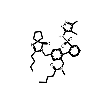 CCCCC(=O)N(C)Cc1cc(CN2C(=O)C3(CCCC3)N=C2CCCC)ccc1-c1ccccc1S(=O)(=O)Nc1onc(C)c1C